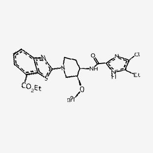 CCCO[C@H]1CN(c2nc3cccc(C(=O)OCC)c3s2)CC[C@H]1NC(=O)c1nc(Cl)c(CC)[nH]1